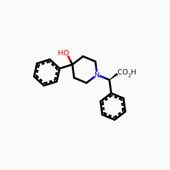 O=C(O)[C@@H](c1ccccc1)N1CCC(O)(c2ccccc2)CC1